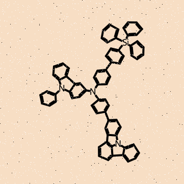 c1ccc(-n2c3ccccc3c3cc(N(c4ccc(-c5ccc([Si](c6ccccc6)(c6ccccc6)c6ccccc6)cc5)cc4)c4ccc(-c5ccc6c(c5)c5cccc7c8ccccc8n6c75)cc4)ccc32)cc1